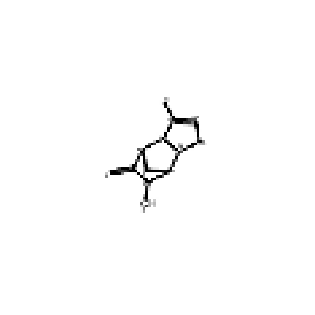 C=C1C(O)C2CC1C1C(C)=CCC21